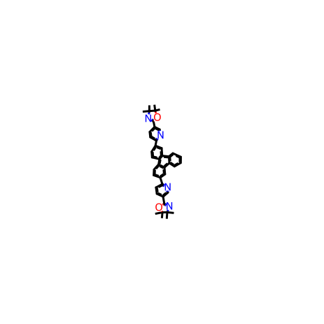 CC1(C)N=C(c2ccc(-c3ccc4c5ccc(-c6ccc(C7=NC(C)(C)C(C)(C)O7)cn6)cc5c5ccccc5c4c3)nc2)OC1(C)C